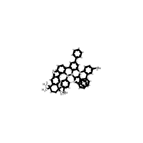 CC(C)(C)c1ccc(N2B3c4sc5ccccc5c4N(c4ccc(C(C)(C)C)cc4-c4ccccc4)c4cc(-c5ccccc5)cc(c43)-c3ccc4oc5cc6c(cc5c4c32)C(C)(C)CCC6(C)C)cc1